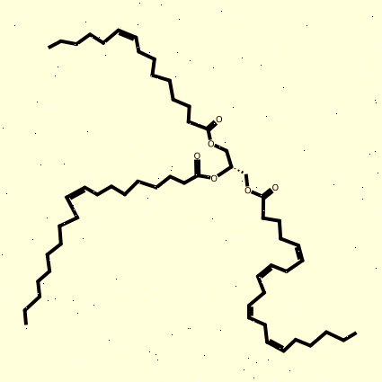 CCCCC/C=C\C/C=C\C/C=C\C/C=C\CCCC(=O)OC[C@@H](COC(=O)CCCCCCC/C=C\CCCCC)OC(=O)CCCCCCC/C=C\CCCCCCCCC